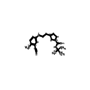 Cc1ccc(OCCC2CCN(C(=O)OC(C)(C)C)C2)cc1C#N